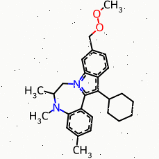 COOCc1ccc2c(C3CCCCC3)c3n(c2c1)CC(C)N(C)c1cc(C)ccc1-3